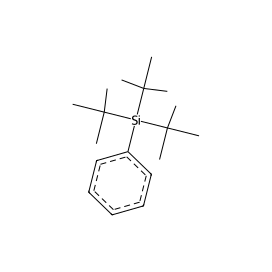 CC(C)(C)[Si](c1ccccc1)(C(C)(C)C)C(C)(C)C